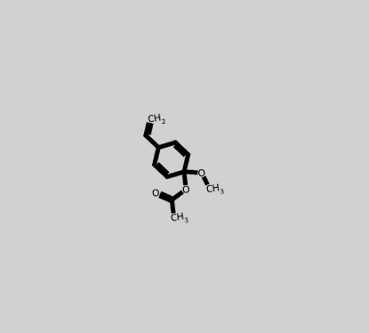 C=CC1C=CC(OC)(OC(C)=O)C=C1